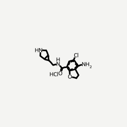 Cl.Nc1c(Cl)cc(C(=O)NCC2C3CNCC32)c2c1CCO2